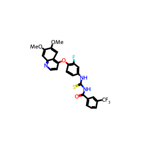 COc1cc2nccc(Oc3ccc(NC(=S)NC(=O)c4cccc(C(F)(F)F)c4)cc3F)c2cc1OC